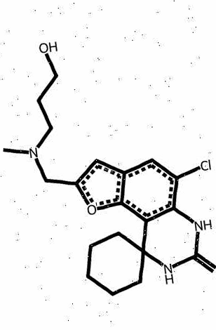 CN(CCCO)Cc1cc2cc(Cl)c3c(c2o1)C1(CCCCC1)NC(=O)N3